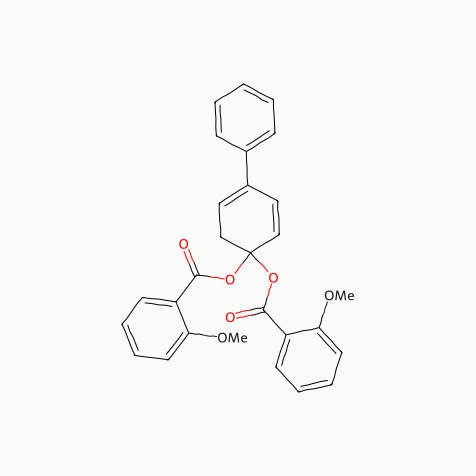 COc1ccccc1C(=O)OC1(OC(=O)c2ccccc2OC)C=CC(c2ccccc2)=CC1